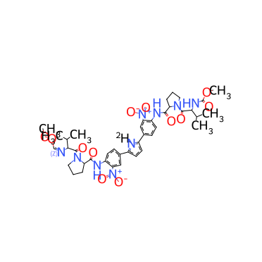 [2H]n1c(-c2ccc(NC(=O)C3CCCN3C(=O)C(/N=C\OOC)C(C)C)c([N+](=O)[O-])c2)ccc1-c1ccc(NC(=O)C2CCCN2C(=O)C(NC(=O)OC)C(C)C)c([N+](=O)[O-])c1